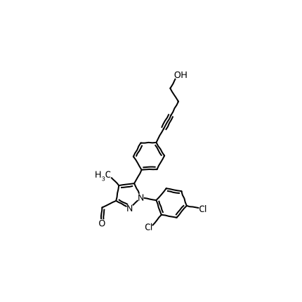 Cc1c(C=O)nn(-c2ccc(Cl)cc2Cl)c1-c1ccc(C#CCCO)cc1